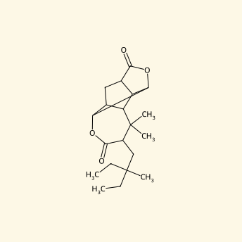 CCC(C)(CC)CC1C(=O)OC2C3CC4C(=O)OC2C4C3C1(C)C